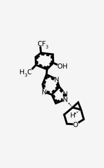 Cc1cc(C(F)(F)F)cc(O)c1-c1cnc2cn([C@@]34CCOC[C@@H]3C4)nc2n1